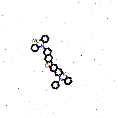 N#Cc1ccccc1N(C1=CCCC=C1)C1=CC2=Cc3oc4cc5cc(N(c6ccccc6)c6ccccc6C#N)ccc5cc4c3CC2C=C1